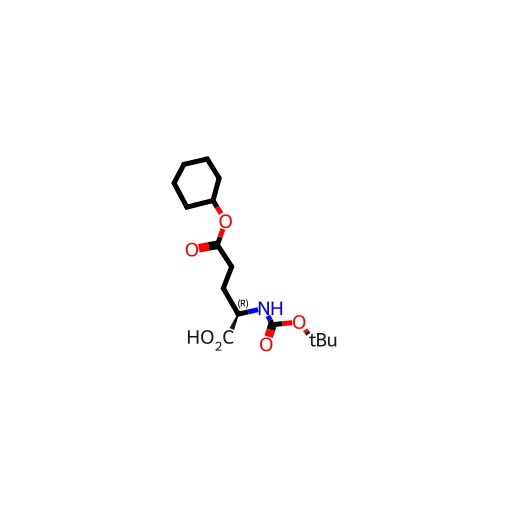 CC(C)(C)OC(=O)N[C@H](CCC(=O)OC1CCCCC1)C(=O)O